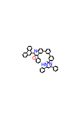 CC1(c2cccc(-c3cccc(-c4ccc5nc(-c6cc7ccccc7c7ccccc67)c6oc7ccccc7c6c5c4)c3)c2)N=C(c2ccccc2)C=C(c2ccccc2)N1